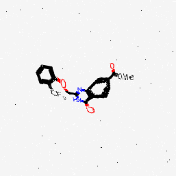 COC(=O)c1ccc2c(=O)[nH]c(COc3ccccc3C(F)(F)F)nc2c1